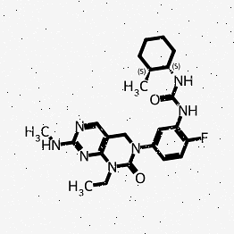 CCN1C(=O)N(c2ccc(F)c(NC(=O)N[C@H]3CCCC[C@@H]3C)c2)Cc2cnc(NC)nc21